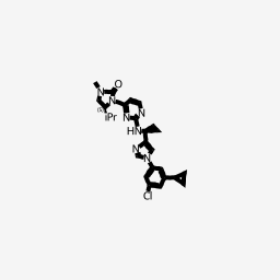 CC(C)[C@H]1CN(C)C(=O)N1c1ccnc(NC2(c3cn(-c4cc(Cl)cc(C5CC5)c4)cn3)CC2)n1